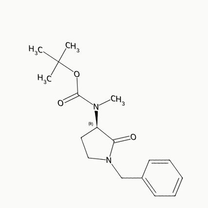 CN(C(=O)OC(C)(C)C)[C@@H]1CCN(Cc2ccccc2)C1=O